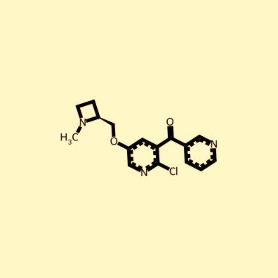 CN1CC[C@H]1COc1cnc(Cl)c(C(=O)c2cccnc2)c1